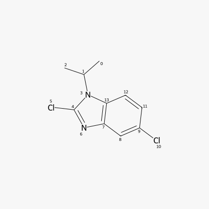 CC(C)n1c(Cl)nc2cc(Cl)ccc21